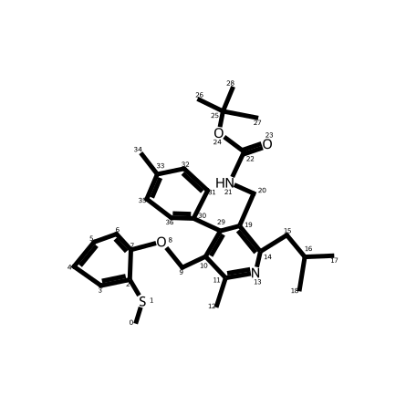 CSc1ccccc1OCc1c(C)nc(CC(C)C)c(CNC(=O)OC(C)(C)C)c1-c1ccc(C)cc1